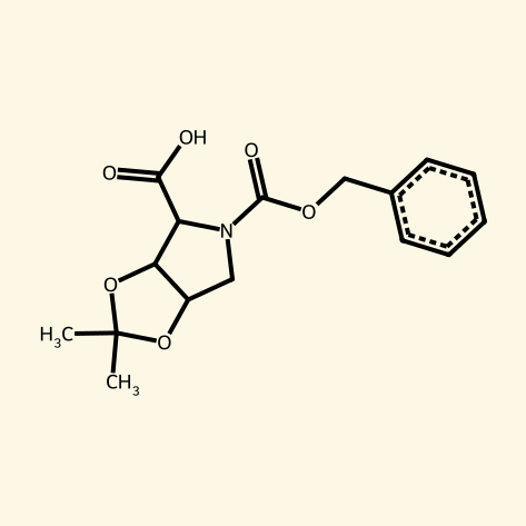 CC1(C)OC2CN(C(=O)OCc3ccccc3)C(C(=O)O)C2O1